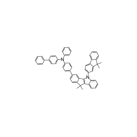 CC1(C)c2ccccc2-c2ccc(-n3c4c(c5ccccc53)C(C)(C)c3ccc(-c5ccc(N(c6ccccc6)c6ccc(-c7ccccc7)cc6)cc5)cc3-4)cc21